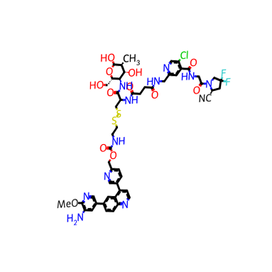 COc1ncc(-c2ccc3nccc(-c4ccc(COC(=O)NCCSSCC(NC(=O)CCC(=O)NCc5cc(C(=O)NCC(=O)N6CC(F)(F)C[C@H]6C#N)c(Cl)cn5)C(=O)N[C@@H]5[C@@H](O)[C@H](C)C(O)O[C@H]5CO)nc4)c3c2)cc1N